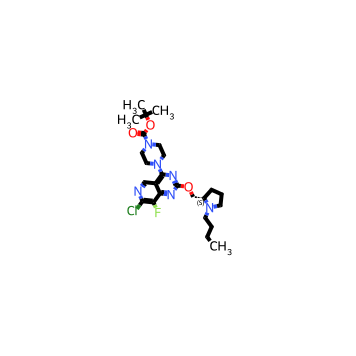 CCCCN1CCC[C@H]1COc1nc(N2CCN(C(=O)OC(C)(C)C)CC2)c2cnc(Cl)c(F)c2n1